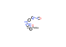 CNC(=O)c1ccccc1Nc1nc(Nc2ccc(-c3ccn(CCN4C=COC=C4)n3)cc2)ncc1C(F)(F)F